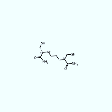 NC(=O)[C@H](CS)NCCS[C@@H](CS)C(N)=O